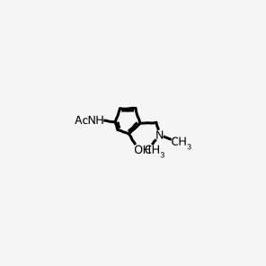 CC(=O)Nc1ccc(CN(C)C)c(O)c1